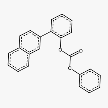 O=C(Oc1ccccc1)Oc1ccccc1-c1ccc2ccccc2c1